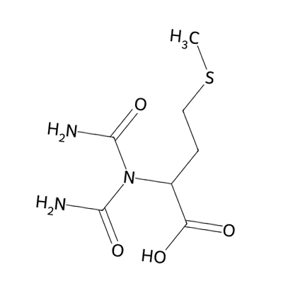 CSCCC(C(=O)O)N(C(N)=O)C(N)=O